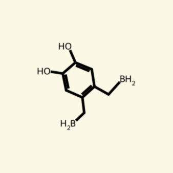 BCc1cc(O)c(O)cc1CB